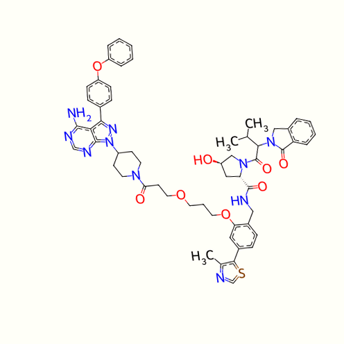 Cc1ncsc1-c1ccc(CNC(=O)[C@@H]2C[C@@H](O)CN2C(=O)C(C(C)C)N2Cc3ccccc3C2=O)c(OCCCOCCC(=O)N2CCC(n3nc(-c4ccc(Oc5ccccc5)cc4)c4c(N)ncnc43)CC2)c1